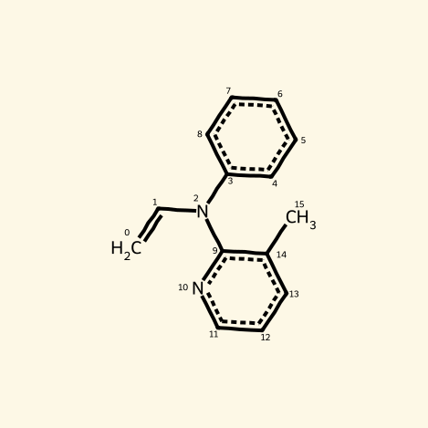 C=CN(c1ccccc1)c1ncccc1C